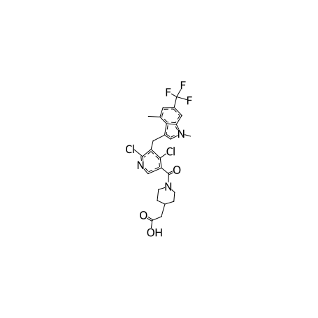 Cc1cc(C(F)(F)F)cc2c1c(Cc1c(Cl)ncc(C(=O)N3CCC(CC(=O)O)CC3)c1Cl)cn2C